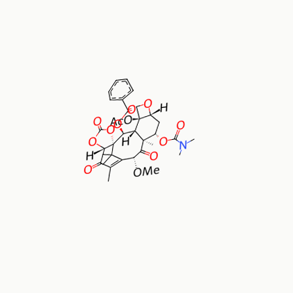 CO[C@H]1C(=O)[C@]2(C)[C@@H](OC(=O)N(C)C)C[C@H]3OC[C@@]3(OC(C)=O)[C@H]2[C@H](OC(=O)c2ccccc2)[C@]23OC(=O)O[C@H]2C(=O)C(C)=C1C3(C)C